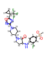 CS(=O)(=O)c1ccc(NC2CCN(C3CCN(c4noc(C5(C(F)(F)F)CC5)n4)CC3)C2=O)c(F)c1